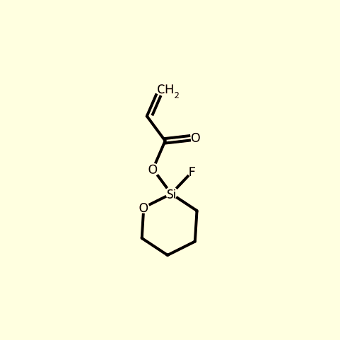 C=CC(=O)O[Si]1(F)CCCCO1